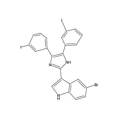 Brc1ccc2[nH]cc(-c3nc(-c4cccc(I)c4)c(-c4cccc(I)c4)[nH]3)c2c1